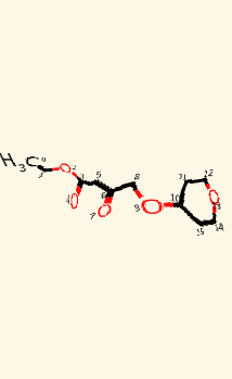 CCOC(=O)CC(=O)COC1CCOCC1